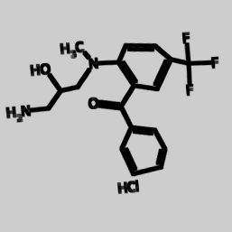 CN(CC(O)CN)c1ccc(C(F)(F)F)cc1C(=O)c1ccccc1.Cl